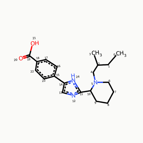 CCC(C)CN1CCCCC1c1ncc(-c2ccc(C(=O)O)cc2)[nH]1